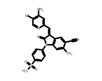 Cc1cc2c(cc1C#N)C(=Cc1cc(N)c(Cl)cn1)C(=O)N2c1ccc(S(C)(=O)=O)cc1